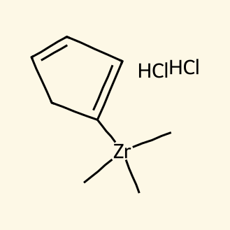 Cl.Cl.[CH3][Zr]([CH3])([CH3])[C]1=CC=CC1